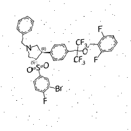 O=S(=O)(c1ccc(F)c(Br)c1)[C@@H]1CN(Cc2ccccc2)C[C@H]1c1ccc(C(OCc2c(F)cccc2F)(C(F)(F)F)C(F)(F)F)cc1